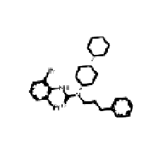 CC(C)c1cccc(C(C)C)c1NC(=O)N(CCCc1ccccc1)[C@H]1CC[C@@H](C2CCCCC2)CC1